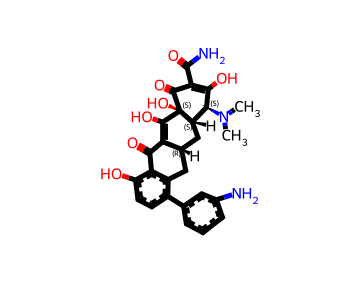 CN(C)[C@@H]1C(O)=C(C(N)=O)C(=O)[C@@]2(O)C(O)=C3C(=O)c4c(O)ccc(-c5cccc(N)c5)c4C[C@H]3C[C@@H]12